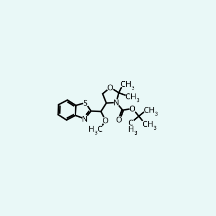 COC(c1nc2ccccc2s1)C1COC(C)(C)N1C(=O)OC(C)(C)C